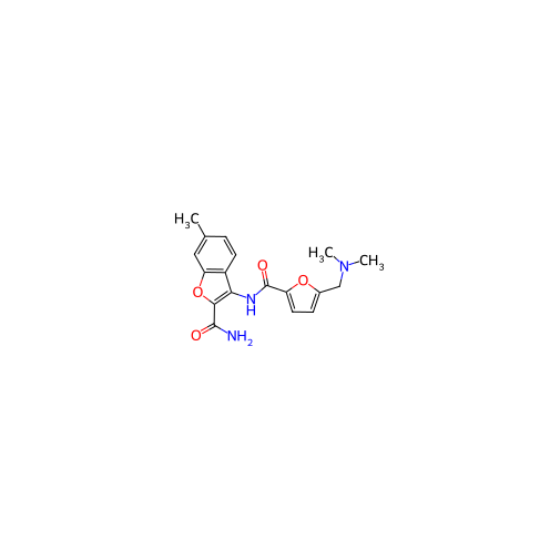 Cc1ccc2c(NC(=O)c3ccc(CN(C)C)o3)c(C(N)=O)oc2c1